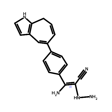 N#C/C(NN)=C(/N)c1ccc(C2=Cc3cc[nH]c3CC=C2)cc1